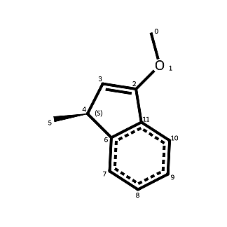 COC1=C[C@H](C)c2ccccc21